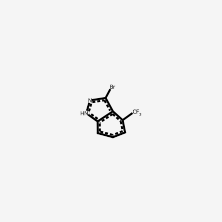 FC(F)(F)c1cccc2[nH]nc(Br)c12